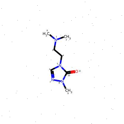 CN(C)CCn1cnn(C)c1=O